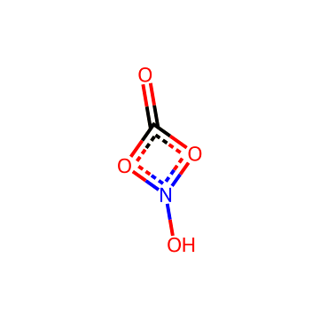 O=c1on(O)o1